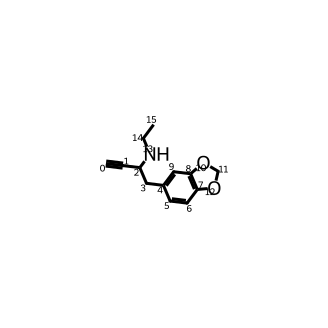 C#CC(Cc1ccc2c(c1)OCO2)NCC